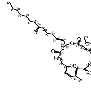 C/C=C1\NC(=O)c2nc(ccc2C)CNC(=O)C[C@@H](/C=C/CCSC(=O)CCCCCCC)OC(=O)[C@H](C(C)C)NC1=O